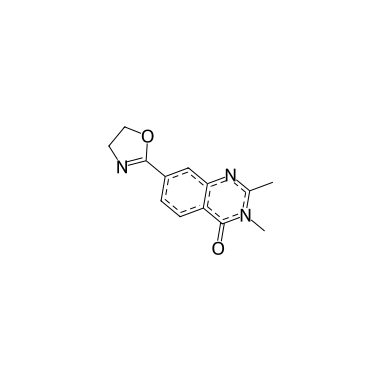 Cc1nc2cc(C3=NCCO3)ccc2c(=O)n1C